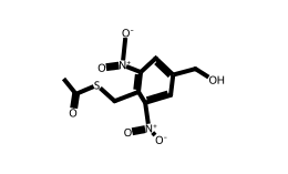 CC(=O)SCc1c([N+](=O)[O-])cc(CO)cc1[N+](=O)[O-]